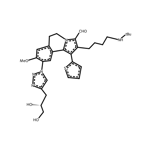 COc1cc2c(cc1-n1cc(C[C@@H](O)CO)nn1)-c1c(-c3cccs3)c(CCCCNC(C)(C)C)c(C=O)n1CC2